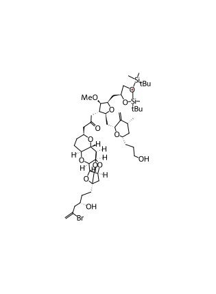 C=C(Br)C[C@@H](O)CC[C@@]12C[C@@H]3O[C@@H]4[C@@H](O1)[C@H]1O[C@H](CC(=O)C[C@@H]5[C@@H](OC)[C@@H](C[C@@H](CO[Si](C)(C)C(C)(C)C)O[Si](C)(C)C(C)(C)C)O[C@H]5C[C@H]5O[C@@H](CCCO)C[C@@H](C)C5=C)CC[C@@H]1O[C@@H]4[C@H]3O2